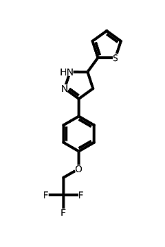 FC(F)(F)COc1ccc(C2=NNC(c3cccs3)C2)cc1